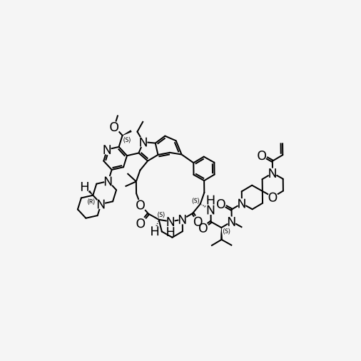 C=CC(=O)N1CCOC2(CCN(C(=O)N(C)[C@H](C(=O)N[C@H]3Cc4cccc(c4)-c4ccc5c(c4)c(c(-c4cc(N6CCN7CCCC[C@@H]7C6)cnc4[C@H](C)OC)n5CC)CC(C)(C)COC(=O)[C@@H]4CCCN(N4)C3=O)C(C)C)CC2)C1